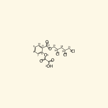 O=C(O)C(=O)Oc1ccccc1C(=O)OCC(Cl)CC(Cl)CCl